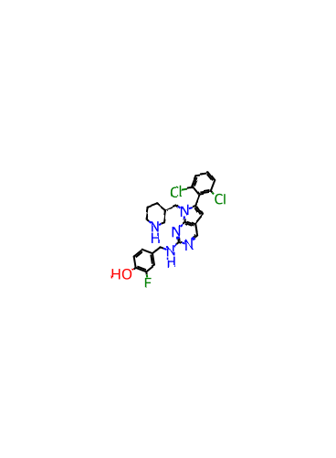 Oc1ccc(CNc2ncc3cc(-c4c(Cl)cccc4Cl)n(C[C@@H]4CCCNC4)c3n2)cc1F